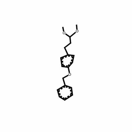 CO[C](CCc1ccc(OCc2ccccc2)cc1)OC